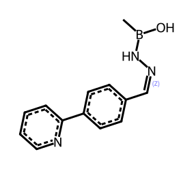 CB(O)N/N=C\c1ccc(-c2ccccn2)cc1